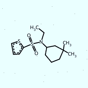 CCN(C1CCCC(C)(C)C1)S(=O)(=O)c1cccs1